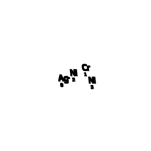 [Ag].[Cr].[Ni].[Ni]